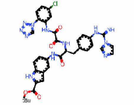 CC(C)(C)OC(=O)c1cc2cc(NC(=O)[C@H](Cc3ccc(NC(=N)n4ccnc4)cc3)NC(=O)C(=O)Nc3cc(Cl)ccc3-n3cnnn3)ccc2[nH]1